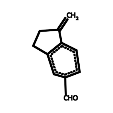 C=C1CCc2cc(C=O)ccc21